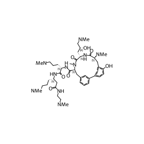 CNCCC[C@@H](CC(=O)NCCNC)NC(=O)[C@H](CCCNC)NC(=O)[C@@H]1Cc2cccc(c2)-c2ccc(O)c(c2)C[C@H](NC)C(=O)N[C@@H](C[C@@H](O)CNC)C(=O)N1C